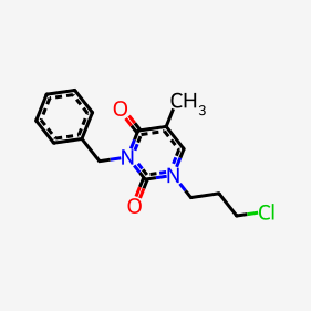 Cc1cn(CCCCl)c(=O)n(Cc2ccccc2)c1=O